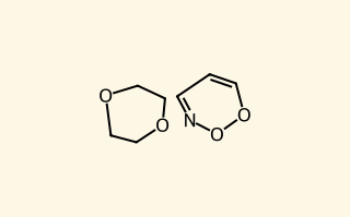 C1=COON=C1.C1COCCO1